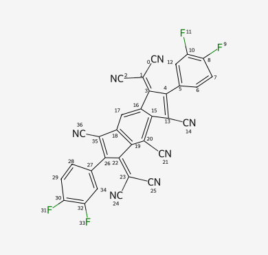 N#CC(C#N)=C1C(c2ccc(F)c(F)c2)=C(C#N)c2c1cc1c(c2C#N)C(=C(C#N)C#N)C(c2ccc(F)c(F)c2)=C1C#N